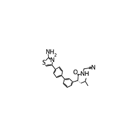 CC(C)C[C@@H](C(=O)NCC#N)c1cccc(-c2ccc(-c3csc(N)n3)cc2)c1